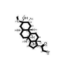 CO[C@]1(O)C[C@@H]2CC[C@@H]3[C@H](CC[C@]4(C)[C@@H](C(=O)CBr)CC[C@@H]34)[C@H]2C[C@H]1C